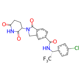 O=C1CCC(N2Cc3cc(C(=O)N[C@H](c4ccc(Cl)cc4)C(F)(F)F)ccc3C2=O)C(=O)N1